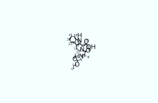 CCOC(=O)CN[C@@H](C)C(=O)N1CCc2c([nH]c3ccccc23)C1C(=O)O